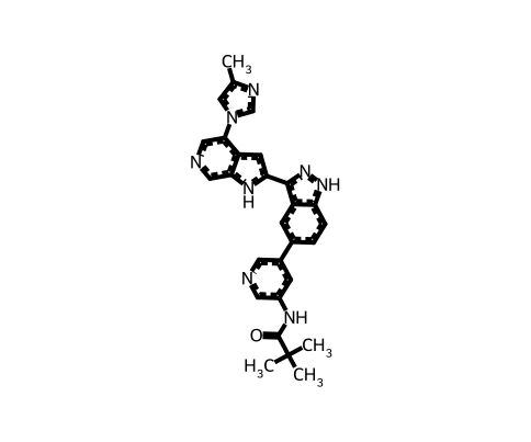 Cc1cn(-c2cncc3[nH]c(-c4n[nH]c5ccc(-c6cncc(NC(=O)C(C)(C)C)c6)cc45)cc23)cn1